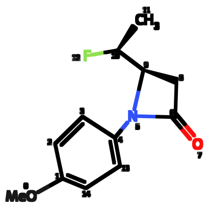 COc1ccc(N2C(=O)C[C@@H]2[C@H](C)F)cc1